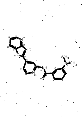 CN(C)c1cccc(C(=O)Nc2cc(-c3nc4ncccc4o3)ccn2)c1